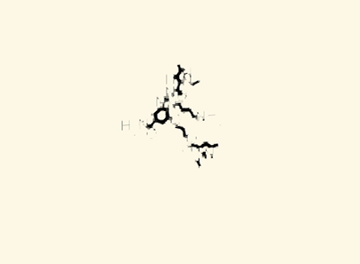 CCn1nc(C)cc1C(=O)Nc1nc2cc(C(N)=O)cc(OCCCOC(=O)c3cc(C)nn3CC)c2n1CC=CCN